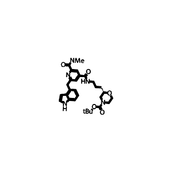 CNC(=O)c1cc(C(=O)NCCC[C@H]2CN(C(=O)OC(C)(C)C)CCO2)cc(Cc2cccc3[nH]ccc23)n1